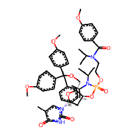 COc1ccc(C(=O)N(CCOP(=O)(O[C@H]2C[C@H](n3cc(C)c(=O)[nH]c3=O)O[C@@H]2COC(c2ccccc2)(c2ccc(OC)cc2)c2ccc(OC)cc2)N(C(C)C)C(C)C)C(C)C)cc1